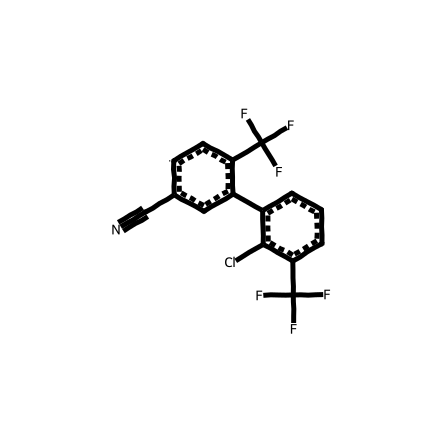 N#Cc1[c]cc(C(F)(F)F)c(-c2cccc(C(F)(F)F)c2Cl)c1